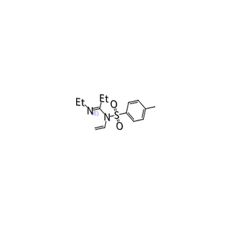 C=CN(/C(CC)=N/CC)S(=O)(=O)c1ccc(C)cc1